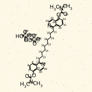 CN(C)C(=O)Oc1cccc2c(CCCCCCCCCCc3nccc4c(OC(=O)N(C)C)cccc34)nccc12.[O-][Cl+3]([O-])([O-])O.[O-][Cl+3]([O-])([O-])O